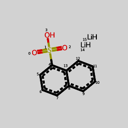 O=S(=O)(O)c1cccc2ccccc12.[LiH].[LiH]